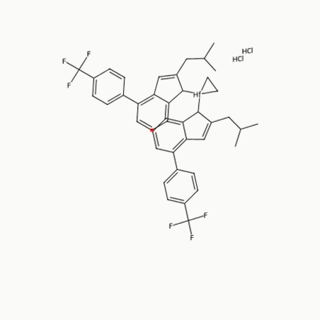 CC(C)CC1=Cc2c(-c3ccc(C(F)(F)F)cc3)cccc2[CH]1[Hf]1([CH]2C(CC(C)C)=Cc3c(-c4ccc(C(F)(F)F)cc4)cccc32)[CH2][CH2]1.Cl.Cl